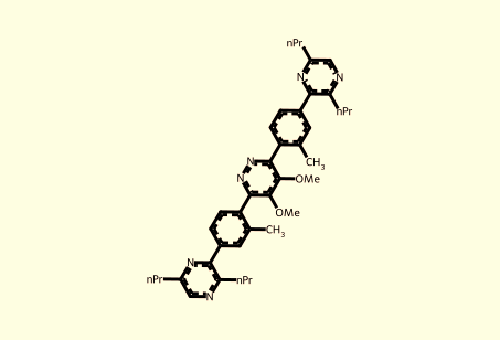 CCCc1cnc(CCC)c(-c2ccc(-c3nnc(-c4ccc(-c5nc(CCC)cnc5CCC)cc4C)c(OC)c3OC)c(C)c2)n1